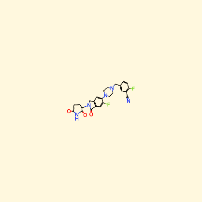 N#Cc1cc(CN2CCN(c3cc4c(cc3F)C(=O)N(C3CCC(=O)NC3=O)C4)CC2)ccc1F